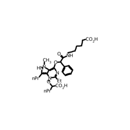 CCCC1=C2C(=C(OC(C(=O)NCCCCCC(=O)O)c3ccccc3)N=C(CC)N2OC(CCC)C(=O)O)N(C)N1